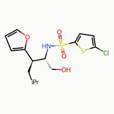 CC(C)C[C@@H](c1ccco1)[C@@H](CO)NS(=O)(=O)c1ccc(Cl)s1